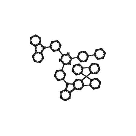 c1ccc(-c2ccc(-c3nc(-c4cccc(-n5c6ccccc6c6ccccc65)c4)nc(-c4cccc(-n5c6ccccc6c6cc7c(cc65)C5(c6ccccc6-c6ccccc65)c5ccccc5-7)c4)n3)cc2)cc1